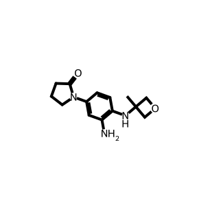 CC1(Nc2ccc(N3CCCC3=O)cc2N)COC1